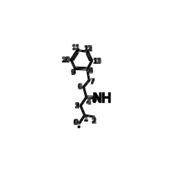 [CH2]C(C)CC(=N)CCc1ccccc1